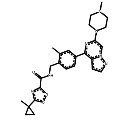 Cc1cc(-c2nc(N3CCN(C)CC3)cn3nccc23)ccc1CNC(=O)c1noc(C2(C)CC2)n1